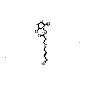 O=C(CCOC/C=C/CBr)ON1C(=O)CCC1=O